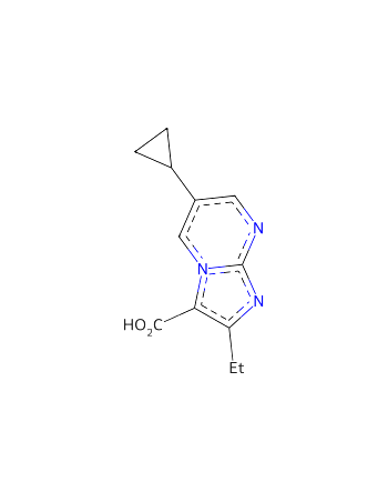 CCc1nc2ncc(C3CC3)cn2c1C(=O)O